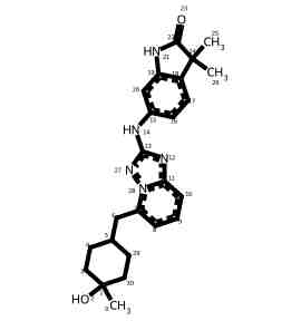 CC1(O)CCC(Cc2cccc3nc(Nc4ccc5c(c4)NC(=O)C5(C)C)nn23)CC1